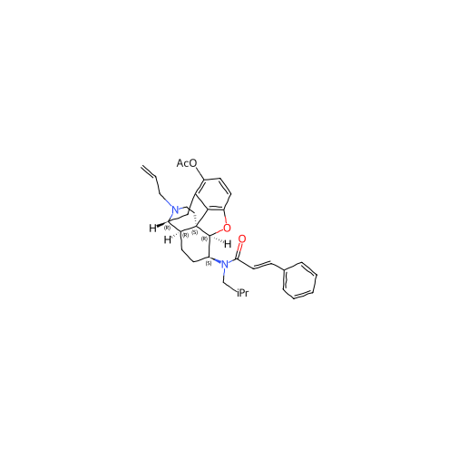 C=CCN1CC[C@@]23c4c5ccc(OC(C)=O)c4C[C@@H]1[C@@H]2CC[C@H](N(CC(C)C)C(=O)C=Cc1ccccc1)[C@@H]3O5